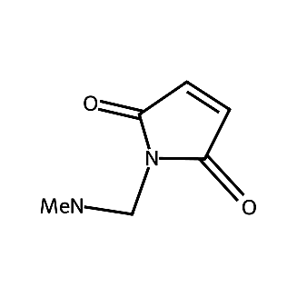 CNCN1C(=O)C=CC1=O